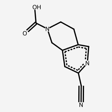 N#Cc1cc2c(cn1)CCN(C(=O)O)C2